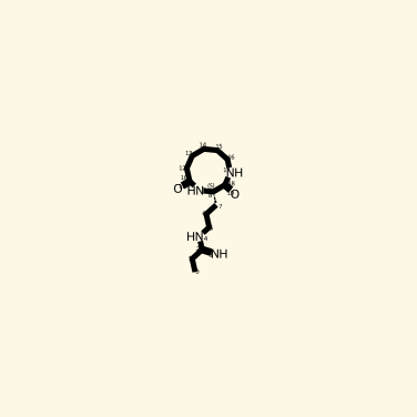 CCC(=N)NCCC[C@@H]1NC(=O)CCCCCNC1=O